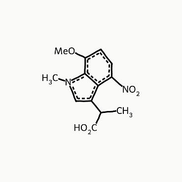 COc1ccc([N+](=O)[O-])c2c(C(C)C(=O)O)cn(C)c12